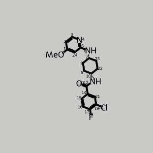 COc1ccnc(N[C@H]2CC[C@@H](NC(=O)c3ccc(F)c(Cl)c3)CC2)c1